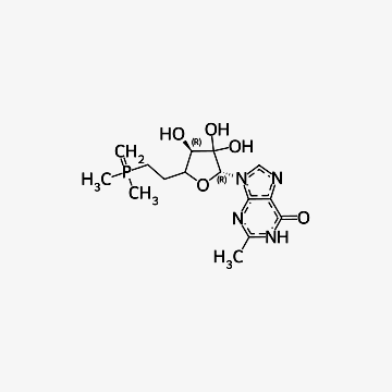 C=P(C)(C)CCC1O[C@@H](n2cnc3c(=O)[nH]c(C)nc32)C(O)(O)[C@@H]1O